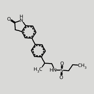 CCCS(=O)(=O)NCC(C)c1ccc(-c2ccc3c(c2)CC(=O)N3)cc1